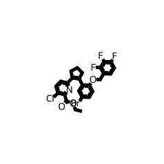 CCOC(=O)c1nc(C2=C(c3cc(Br)ccc3OCc3ccc(F)c(F)c3F)CCC2)ccc1Cl